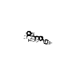 OC1Oc2cc(N3CCNCC3)ccc2C=C1c1nc2cccc(Cl)c2s1